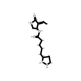 C/C=C1/C(=O)OCC1OC(=O)CCCCC1CCSS1